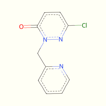 O=c1ccc(Cl)nn1Cc1ccccn1